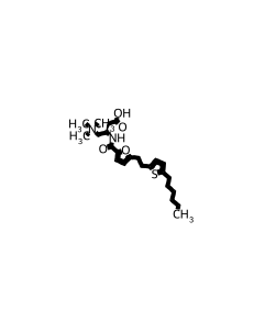 CCCCCCc1ccc(CCc2ccc(C(=O)N[C@H](CC(=O)O)C[N+](C)(C)C)o2)s1